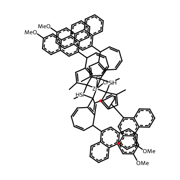 COc1ccc2cc(C3C=CC=CC4=C3C=C(C)[C]43[SiH](C)[C]4(C(C)=CC5=C4C=CC=CC5c4cc5ccc(OC)cc5c5ccccc45)[Zr]34([Cl])([Cl])[C]3(C(C)=CC5=C3C=CC=CC5c3cc5ccc(OC)cc5c5ccccc35)[SiH](C)[C]43C(C)=CC4=C3C=CC=CC4c3cc4ccc(OC)cc4c4ccccc34)c3ccccc3c2c1